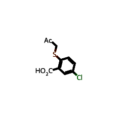 CC(=O)CSc1ccc(Cl)cc1C(=O)O